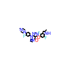 Cc1cc2c(F)c(Oc3ncnc(Nc4ccc(N5CCN(C)CC5)c(F)c4)c3C(=O)N3CCC3)cc(F)c2[nH]1